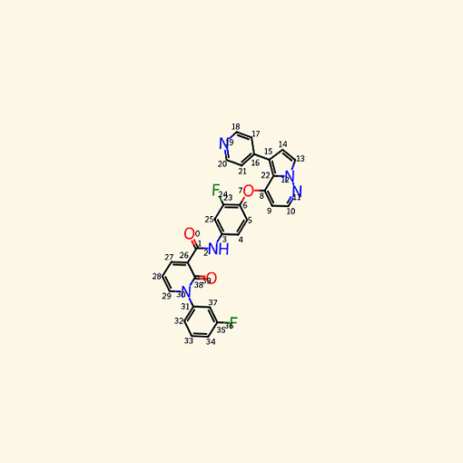 O=C(Nc1ccc(Oc2ccnn3ccc(-c4ccncc4)c23)c(F)c1)c1cccn(-c2cccc(F)c2)c1=O